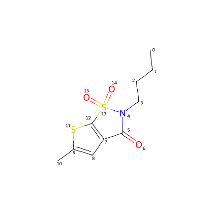 CCCCN1C(=O)c2cc(C)sc2S1(=O)=O